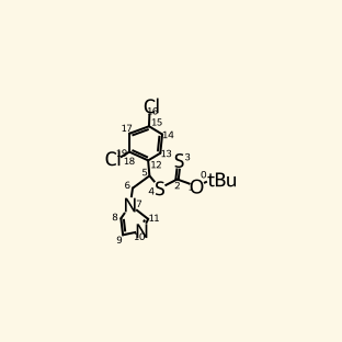 CC(C)(C)OC(=S)SC(Cn1ccnc1)c1ccc(Cl)cc1Cl